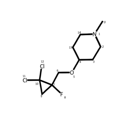 CN1CCC(OCC2(F)CC2(Cl)Cl)CC1